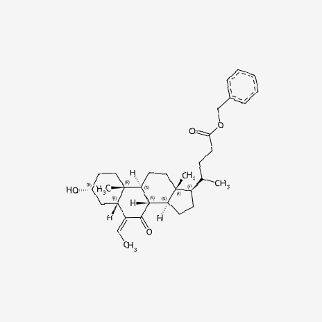 CC=C1C(=O)[C@@H]2[C@H](CC[C@]3(C)[C@@H](C(C)CCC(=O)OCc4ccccc4)CC[C@@H]23)[C@@]2(C)CC[C@@H](O)C[C@@H]12